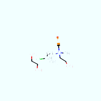 C[N+](C)(C#P=O)CCO.C[SiH](C)Cl.OCCO